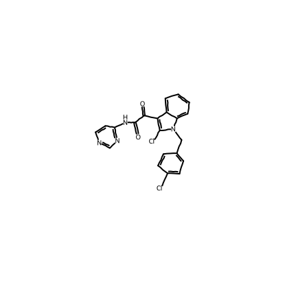 O=C(Nc1ccncn1)C(=O)c1c(Cl)n(Cc2ccc(Cl)cc2)c2ccccc12